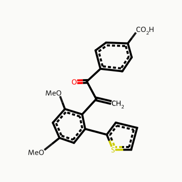 C=C(C(=O)c1ccc(C(=O)O)cc1)c1c(OC)cc(OC)cc1-c1cccs1